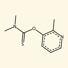 Cc1ncccc1OC(=S)N(C)C